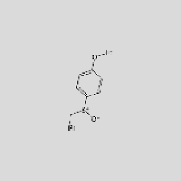 CCOc1ccc([S+]([O-])CC(C)C)cc1